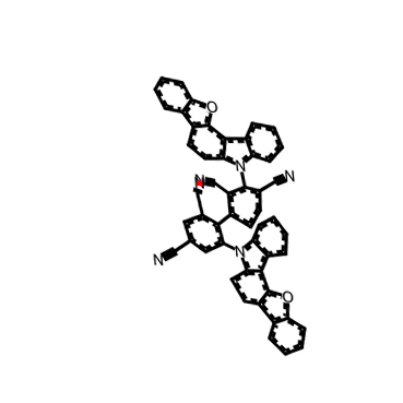 N#Cc1cc(C#N)c(-c2ccc(C#N)c(-n3c4ccccc4c4c5oc6ccccc6c5ccc43)c2C#N)c(-n2c3ccccc3c3c4oc5ccccc5c4ccc32)c1